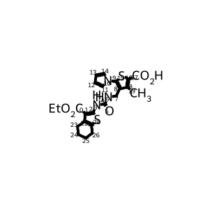 CCOC(=O)c1c(NC(=O)NCc2c(-n3cccc3)sc(C(=O)O)c2C)sc2c1CCCC2